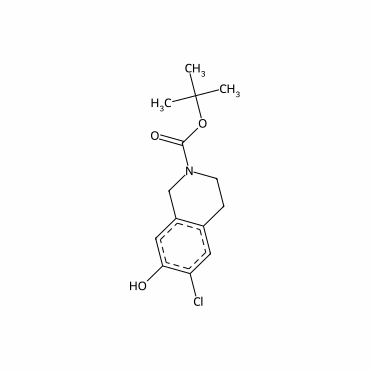 CC(C)(C)OC(=O)N1CCc2cc(Cl)c(O)cc2C1